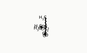 CCCCCCCCCCCCS(=O)(=O)[O-].C[P+](C)(C)C